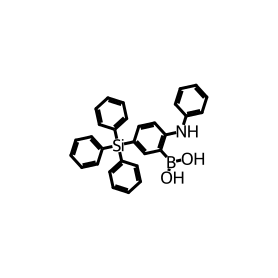 OB(O)c1cc([Si](c2ccccc2)(c2ccccc2)c2ccccc2)ccc1Nc1ccccc1